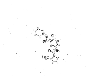 Cc1ccsc1C(=O)Nc1ccc(Cl)c(C(=O)OC2CCCCC2)c1